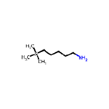 C[Si](C)(C)CCCCCN